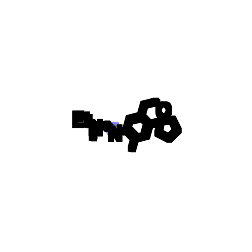 CCN(C)/C=N/c1cc2c(cc1C)C1(CCCC1)OCC2